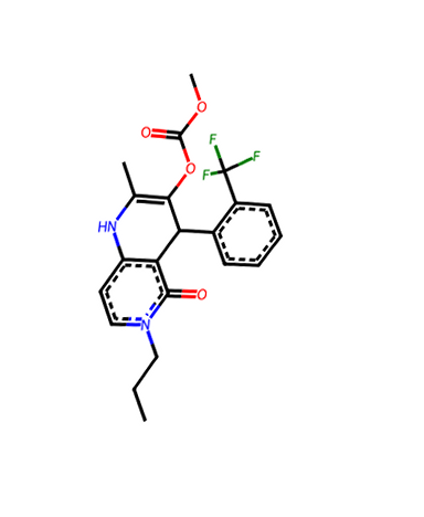 CCCn1ccc2c(c1=O)C(c1ccccc1C(F)(F)F)C(OC(=O)OC)=C(C)N2